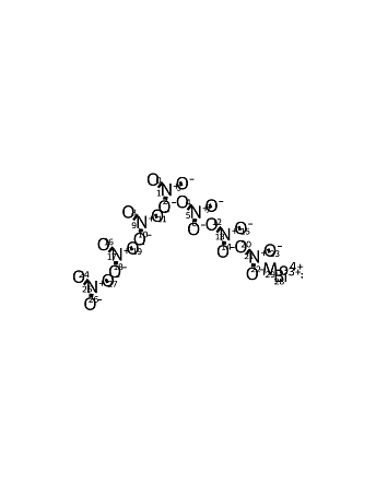 O=[N+]([O-])[O-].O=[N+]([O-])[O-].O=[N+]([O-])[O-].O=[N+]([O-])[O-].O=[N+]([O-])[O-].O=[N+]([O-])[O-].O=[N+]([O-])[O-].[Bi+3].[Mo+4]